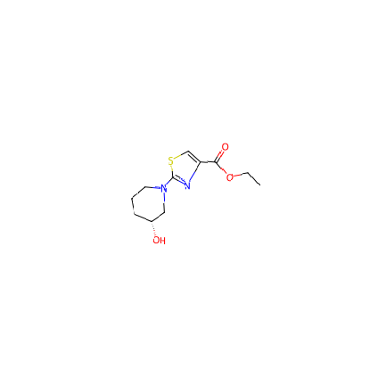 CCOC(=O)c1csc(N2CCC[C@@H](O)C2)n1